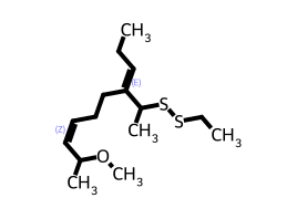 CC/C=C(\CC/C=C\C(C)OC)C(C)SSCC